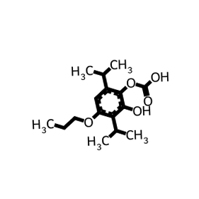 CCCOc1cc(C(C)C)c(OC(=O)O)c(O)c1C(C)C